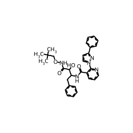 CC(C)(C)CONC(=O)C(O)C(Cc1ccccc1)NC(=O)c1cccnc1-n1ccc(-c2ccccc2)n1